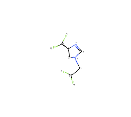 FC(F)CN1[C]=NC(C(F)F)[CH]1